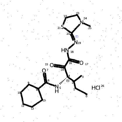 CCC(C)[C@H](NC(=O)C1CCCCC1)C(=O)C(=O)N/N=C1\SCCN1C.Cl